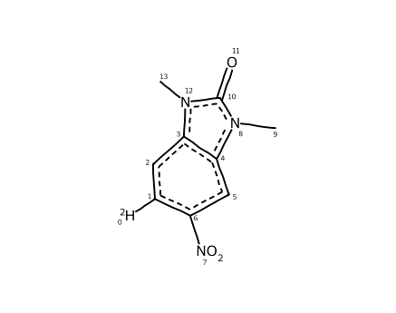 [2H]c1cc2c(cc1[N+](=O)[O-])n(C)c(=O)n2C